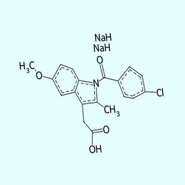 COc1ccc2c(c1)c(CC(=O)O)c(C)n2C(=O)c1ccc(Cl)cc1.[NaH].[NaH]